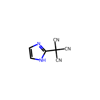 N#CC(C#N)(C#N)c1ncc[nH]1